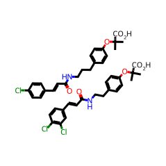 CC(C)(Oc1ccc(CCCNC(=O)C=Cc2ccc(Cl)cc2)cc1)C(=O)O.CC(C)(Oc1ccc(CCNC(=O)C=Cc2ccc(Cl)c(Cl)c2)cc1)C(=O)O